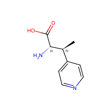 C[C@@H](c1ccncc1)[C@H](N)C(=O)O